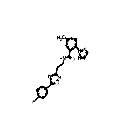 Cc1ccc(-n2nccn2)c(C(=O)NCCc2noc(-c3ccc(F)cc3)n2)c1